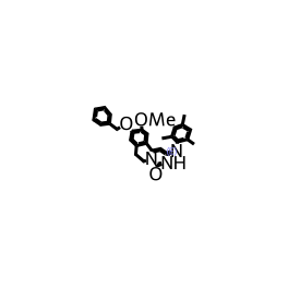 COc1cc2c(cc1OCc1ccccc1)CCn1c-2c/c(=N\c2c(C)cc(C)cc2C)[nH]c1=O